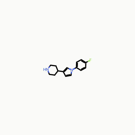 Fc1ccc(-n2ccc(C3CCNCC3)c2)cc1